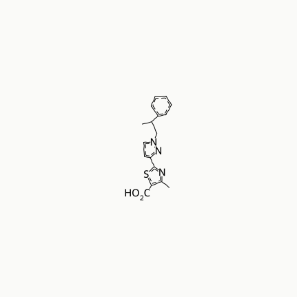 Cc1nc(-c2ccn(CC(C)c3ccccc3)n2)sc1C(=O)O